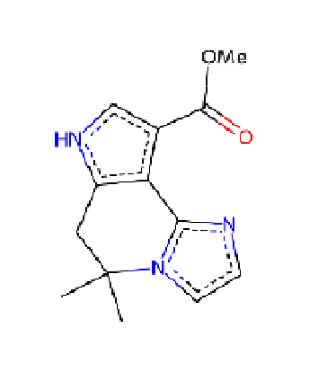 COC(=O)c1c[nH]c2c1-c1nccn1C(C)(C)C2